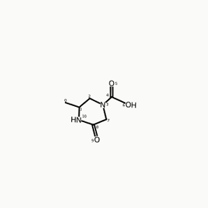 CC1CN(C(=O)O)CC(=O)N1